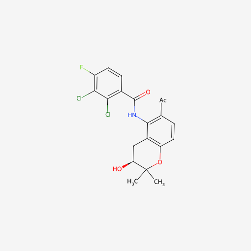 CC(=O)c1ccc2c(c1NC(=O)c1ccc(F)c(Cl)c1Cl)C[C@H](O)C(C)(C)O2